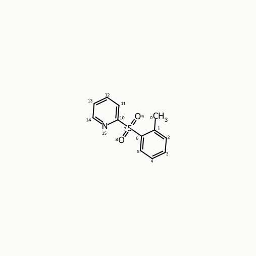 Cc1ccccc1S(=O)(=O)c1ccccn1